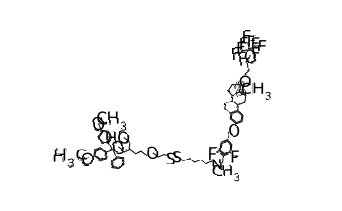 COc1ccc(C(OCC(CO)CCCOCCSSCCCCCCN(C)Cc2c(F)cc(COc3ccc4c(c3)CCC3C4CC[C@@]4(C)C3CC[C@@H]4OCCCOC(C(F)(F)F)(C(F)(F)F)C(F)(F)F)cc2F)(c2ccccc2)c2ccc(OC)cc2)cc1